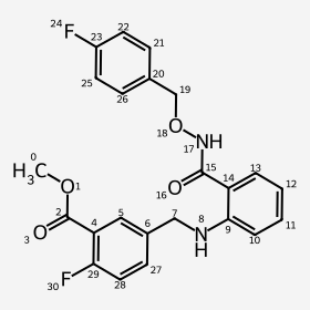 COC(=O)c1cc(CNc2ccccc2C(=O)NOCc2ccc(F)cc2)ccc1F